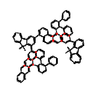 CC1(C)c2ccccc2-c2cccc(-c3ccc(N(c4cccc(-c5ccccc5)c4-c4ccccc4-c4ccccc4)c4cccc5c(-c6cc(-c7ccc(N(c8ccc9ccccc9c8)c8cccc(-c9ccccc9)c8-c8ccccc8-c8ccccc8)cc7)c7c(c6)-c6ccccc6C7(C)C)cccc45)cc3)c21